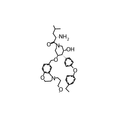 CCc1ccc(Oc2ccc([C@H]3[C@H](O)CN(C(=O)[C@@H](N)CC(C)C)C[C@@H]3OCc3ccc4c(c3)N(CCCOC)CCO4)cc2)cc1